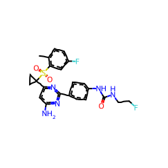 Cc1ccc(F)cc1S(=O)(=O)C1(c2cc(N)nc(-c3ccc(NC(=O)NCCF)cc3)n2)CC1